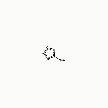 CSc1co[c]n1